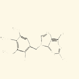 COc1cc(Cn2cnc3c(Br)nc(N)nc32)c(F)c(OC)c1OC